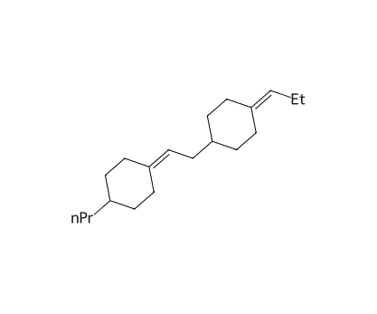 CCC=C1CCC(CC=C2CCC(CCC)CC2)CC1